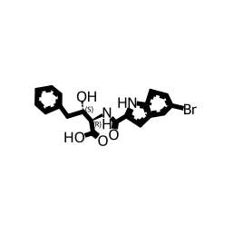 O=C(N[C@@H](C(=O)O)[C@@H](O)Cc1ccccc1)c1cc2cc(Br)ccc2[nH]1